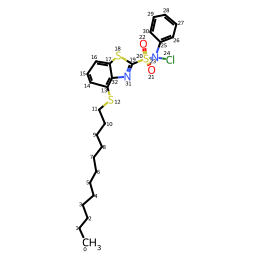 CCCCCCCCCCCCSc1cccc2sc(S(=O)(=O)N(Cl)c3ccccc3)nc12